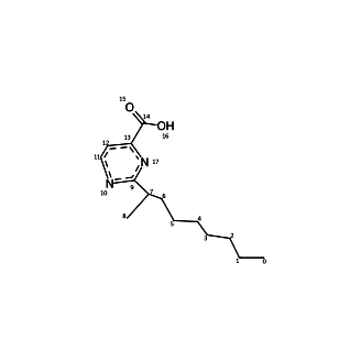 CCCCCCCC(C)c1nccc(C(=O)O)n1